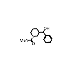 CNC(=O)N1CCCC(C(O)c2ccccc2)C1